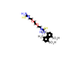 Cc1ccc(S(=O)(=O)O)cc1.Cc1ccc(S(=O)(=O)O)cc1.NC(S)=NCCOCCOCCN=C(N)S